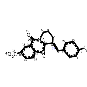 Cc1ccc(/C=C2\CCCn3c2nc2ccc(C(=O)O)cc2c3=O)cc1